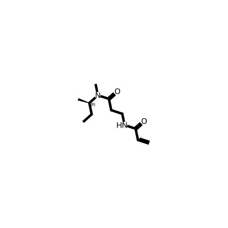 C=CC(=O)NCCC(=O)N(C)[C@H](C)CC